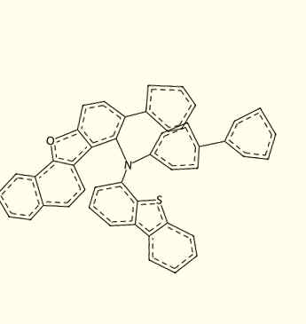 c1ccc(-c2ccc(N(c3cccc4c3sc3ccccc34)c3c(-c4ccccc4)ccc4oc5c6ccccc6ccc5c34)cc2)cc1